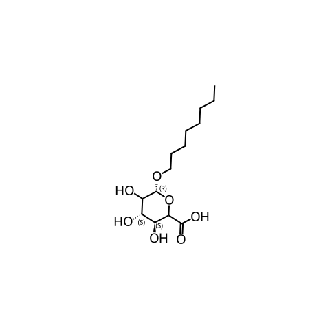 CCCCCCCCO[C@@H]1OC(C(=O)O)[C@@H](O)[C@H](O)C1O